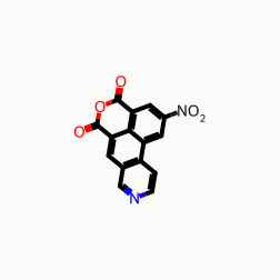 O=C1OC(=O)c2cc3cnccc3c3cc([N+](=O)[O-])cc1c23